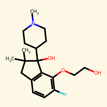 CN1CCC(C2(O)c3c(ccc(F)c3OCCO)CC2(C)C)CC1